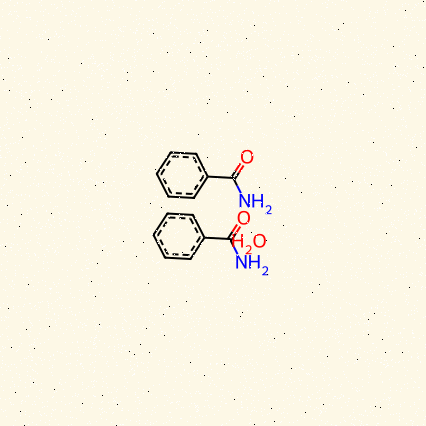 NC(=O)c1ccccc1.NC(=O)c1ccccc1.O